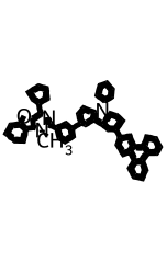 CN1C(c2cccc(-c3ccc4c(c3)c3cc(-c5ccc6c7ccccc7c7ccccc7c6c5)ccc3n4-c3ccccc3)c2)=NC(c2ccccc2)=C2Oc3ccccc3C21